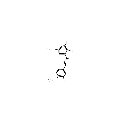 COc1cc(Br)c(N)c(C(=O)C=Cc2ccc(OC)c(F)c2)c1